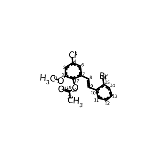 COc1cc(Cl)cc(/C=C/c2ccccc2Br)c1OC(C)=O